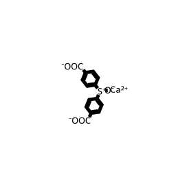 O=C([O-])c1ccc([S+]([O-])c2ccc(C(=O)[O-])cc2)cc1.[Ca+2]